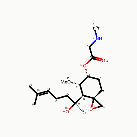 CCCNCC(=O)O[C@@H]1CC[C@]2(CO2)[C@@H]([C@@](C)(O)CCC=C(C)C)[C@@H]1OC